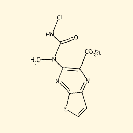 CCOC(=O)c1nc2ccsc2nc1N(C)C(=O)NCl